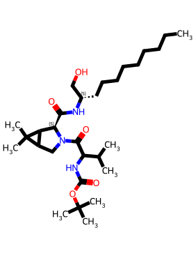 CCCCCCCCC[C@@H](CO)NC(=O)[C@@H]1C2C(CN1C(=O)C(NC(=O)OC(C)(C)C)C(C)C)C2(C)C